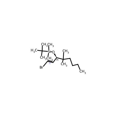 CCCCC(C)(C)[C@@H](/C=C/Br)O[Si](C)(C)C(C)(C)C